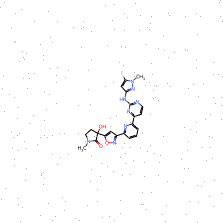 CN1CCC(O)(c2cc(-c3cccc(-c4ccnc(Nc5cc(F)n(C)n5)n4)n3)no2)C1=O